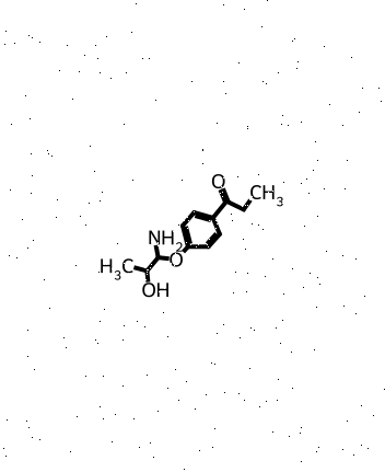 CCC(=O)c1ccc(OC(N)C(C)O)cc1